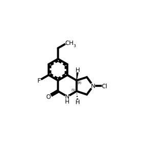 CCc1cc(F)c2c(c1)[C@@H]1CN(Cl)C[C@H]1NC2=O